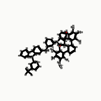 [2H]c1c([2H])c([2H])c(-c2cccc(-c3c([2H])c([2H])c([2H])c([2H])c3[2H])c2-[n+]2cn(-c3cccc(Nc4ccc5c6ccccc6n(-c6cc(C(C)(C)C)ccn6)c5c4)c3)c3ccccc32)c([2H])c1[2H].[Cl-]